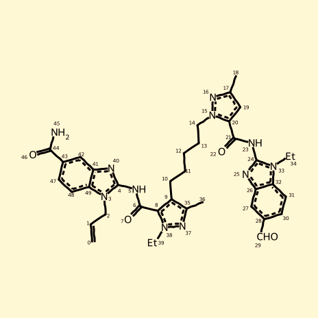 C=CCn1c(NC(=O)c2c(CCCCCn3nc(C)cc3C(=O)Nc3nc4cc(C=O)ccc4n3CC)c(C)nn2CC)nc2cc(C(N)=O)ccc21